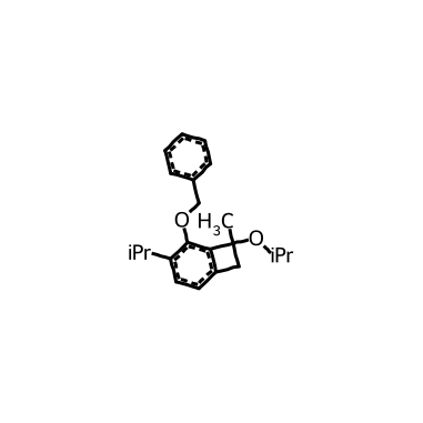 CC(C)OC1(C)Cc2ccc(C(C)C)c(OCc3ccccc3)c21